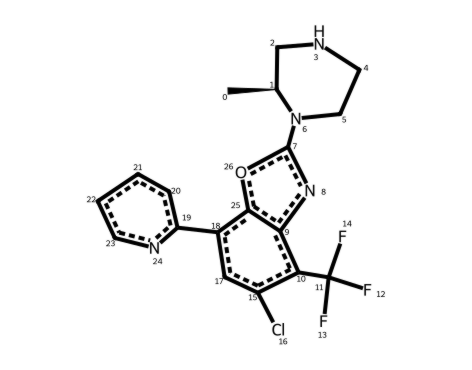 C[C@H]1CNCCN1c1nc2c(C(F)(F)F)c(Cl)cc(-c3ccccn3)c2o1